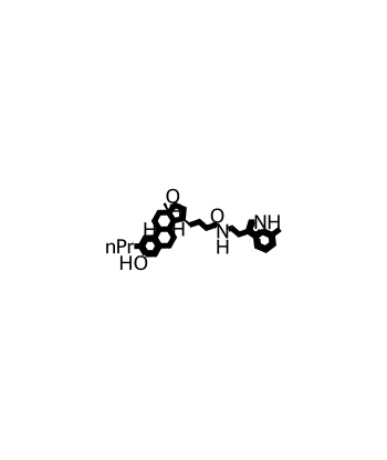 CCCc1cc2c(cc1O)CC[C@H]1[C@@H]3[C@H](CCCC(=O)NCCc4c[nH]c5c(C)cccc45)CC(=O)[C@@]3(C)CC[C@H]21